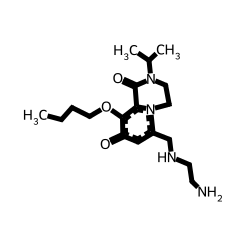 CCCCOc1c2n(c(CNCCN)cc1=O)CCN(C(C)C)C2=O